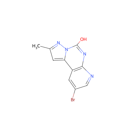 Cc1cc2c3cc(Br)cnc3nc(O)n2n1